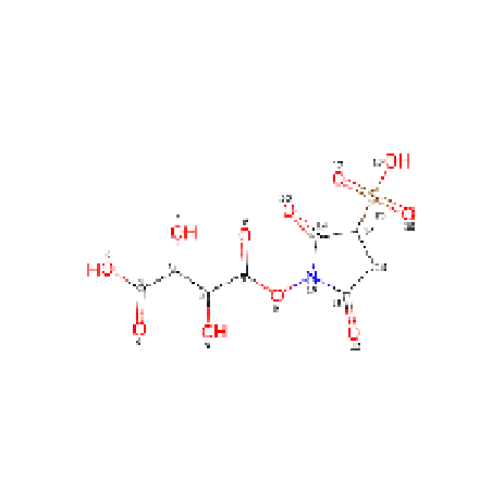 O=C(O)C(O)C(O)C(=O)ON1C(=O)CC(S(=O)(=O)O)C1=O